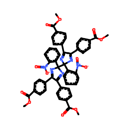 COC(=O)c1ccc(C2=NC(c3ccccc3[N+](=O)[O-])(C3(c4ccccc4[N+](=O)[O-])N=C(c4ccc(C(=O)OC)cc4)C(c4ccc(C(=O)OC)cc4)=N3)N=C2c2ccc(C(=O)OC)cc2)cc1